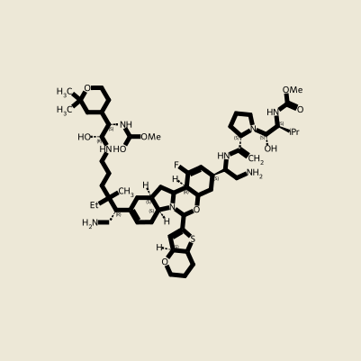 C=C(NC(CN)[C@@H]1C=C(F)[C@H]2C(C1)OC(C1=C[C@@H]3OCCCC3S1)N1C2C[C@@H]2CC([C@H](CN)C(C)(CC)CCCN[C@H](O)[C@@H](NC(O)OC)C3CCOC(C)(C)C3)=CC[C@@H]21)[C@@H]1CCCN1[C@@H](O)[C@@H](NC(=O)OC)C(C)C